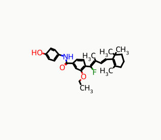 CCOc1cc(C(=O)Nc2ccc(O)cc2)ccc1/C(F)=C(C)/C=C/C1=C(C)CCCC1(C)C